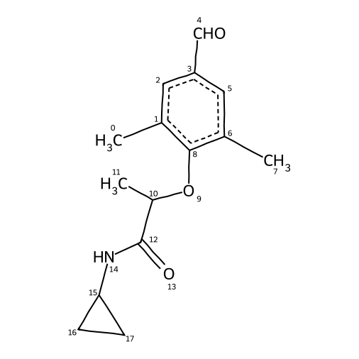 Cc1cc(C=O)cc(C)c1OC(C)C(=O)NC1CC1